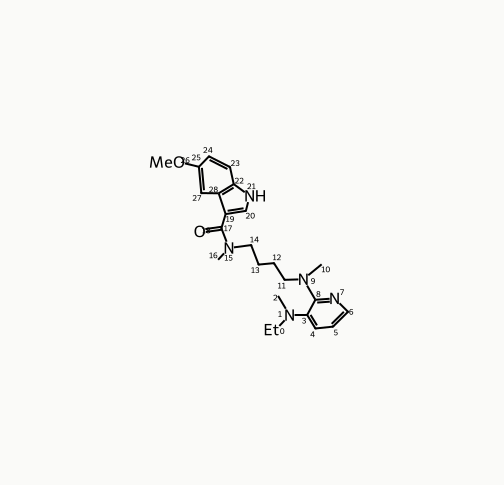 CCN(C)c1cccnc1N(C)CCCCN(C)C(=O)c1c[nH]c2ccc(OC)cc12